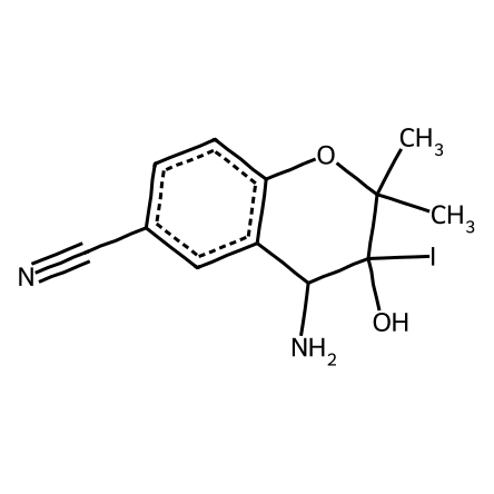 CC1(C)Oc2ccc(C#N)cc2C(N)C1(O)I